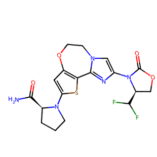 NC(=O)[C@@H]1CCCN1c1cc2c(s1)-c1nc(N3C(=O)OC[C@H]3C(F)F)cn1CCO2